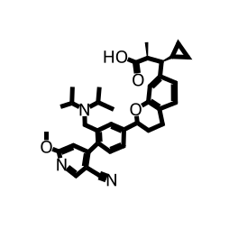 COc1cc(-c2ccc(C3CCc4ccc([C@H](C5CC5)[C@H](C)C(=O)O)cc4O3)cc2CN(C(C)C)C(C)C)c(C#N)cn1